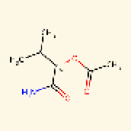 CC(=O)O[C@H](C(N)=O)C(C)C